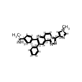 C[C@@H](N)c1ccc(-c2nc3ccn4c(-c5cn(C)cn5)nnc4c3cc2-c2ccccc2)cc1